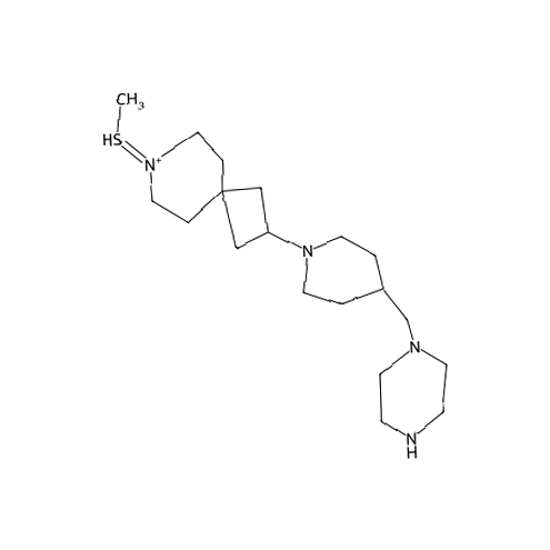 C[SH]=[N+]1CCC2(CC1)CC(N1CCC(CN3CCNCC3)CC1)C2